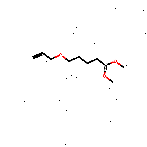 C=CCOCCCC[SiH](OC)OC